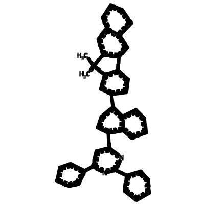 CC1(C)c2cc(-c3ccc(-c4cc(-c5ccccc5)nc(-c5ccccc5)n4)c4ccccc34)ccc2-c2cc3ccccc3cc21